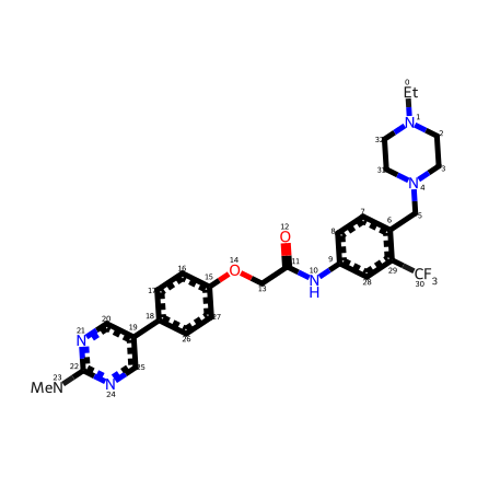 CCN1CCN(Cc2ccc(NC(=O)COc3ccc(-c4cnc(NC)nc4)cc3)cc2C(F)(F)F)CC1